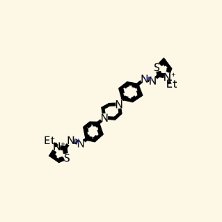 CC[n+]1ccsc1/N=N/c1ccc(N2CCN(c3ccc(/N=N/c4scc[n+]4CC)cc3)CC2)cc1